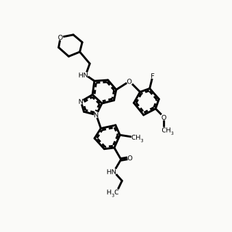 CCNC(=O)c1ccc(-n2cnc3c(NCC4CCOCC4)cc(Oc4ccc(OC)cc4F)cc32)cc1C